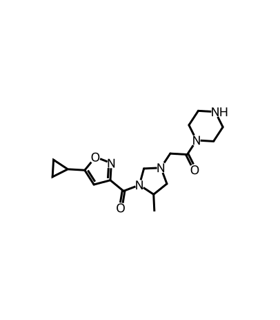 CC1CN(CC(=O)N2CCNCC2)CN1C(=O)c1cc(C2CC2)on1